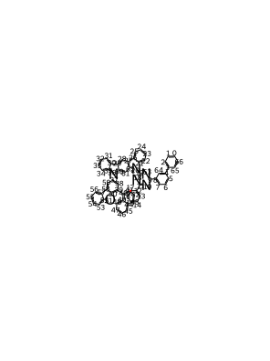 c1ccc(-c2cccc(-c3nc(-c4ccccc4)nc(-n4c5ccccc5c5cc6c7ccccc7n(-c7cc(-c8cccc9ccccc89)c8oc9ccccc9c8c7)c6cc54)n3)c2)cc1